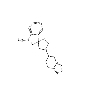 OC1CC2(CCN(C3CCc4nccn4C3)C2)c2ccccc21